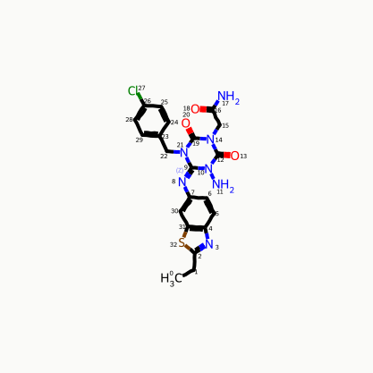 CCc1nc2ccc(/N=c3\n(N)c(=O)n(CC(N)=O)c(=O)n3Cc3ccc(Cl)cc3)cc2s1